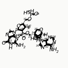 Nc1nc2c(ncn2[C@@H]2O[C@H](CO[PH](=O)S)[C@@H](F)[C@H]2P(=O)(S)OC[C@@]23CO[C@@H]([C@H](n4cnc5c(N)ncnc54)O2)[C@@H]3O)c(=O)[nH]1